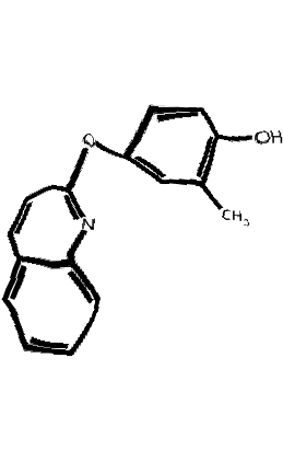 Cc1cc(Oc2ccc3ccccc3n2)ccc1O